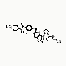 CN1CCC(N(C)C(=O)c2ccc(Nc3ncc(C(F)(F)F)c(N[C@@H]4CCC[C@@H]4C(=O)NCCC#N)n3)cc2)CC1